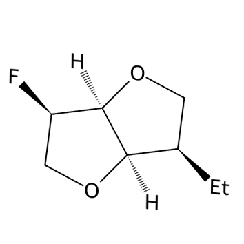 CC[C@@H]1CO[C@H]2[C@@H]1OC[C@H]2F